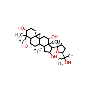 CC(C)(O)[C@@H]1CC[C@](C)([C@H]2[C@@H](O)C[C@@]3(C)C4C[C@H](O)C5C(C)(C)[C@@H](O)CC[C@@]56C[C@@]46C[C@H](O)[C@]23C)O1